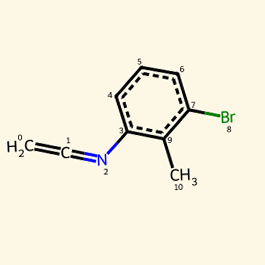 C=C=Nc1cccc(Br)c1C